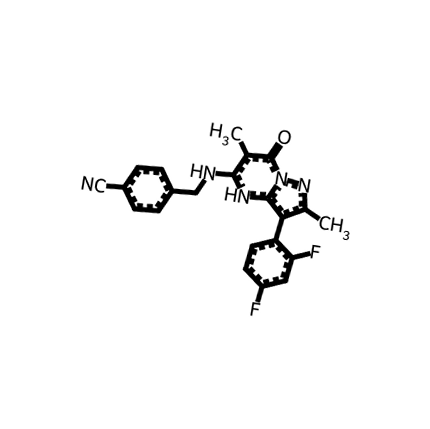 Cc1nn2c(=O)c(C)c(NCc3ccc(C#N)cc3)[nH]c2c1-c1ccc(F)cc1F